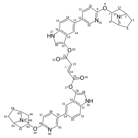 CN1C2CCC1CC(Oc1ccc(-c3ccc4[nH]cc(OC(=O)/C=C/C(=O)Oc5c[nH]c6ccc(-c7ccc(OC8CC9CCC(C8)N9C)nc7)cc56)c4c3)cn1)C2